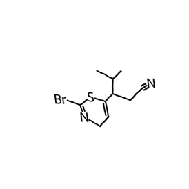 CC(C)C(CC#N)C1=CCN=C(Br)S1